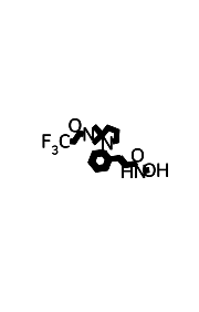 O=C(C=Cc1ccccc1N1CCCC12CN(C(=O)CC(F)(F)F)C2)NO